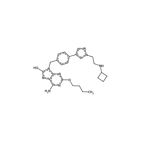 CCCCOc1nc(N)c2nc(O)n(Cc3ccc(-c4cnn(CCNC5CCC5)c4)cc3)c2n1